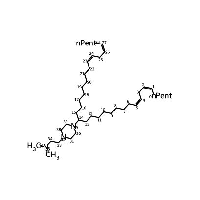 CCCCC/C=C\C/C=C\CCCCCCCCC(CCCCCCCC/C=C\C/C=C\CCCCC)N1CCN(CCN(C)C)CC1